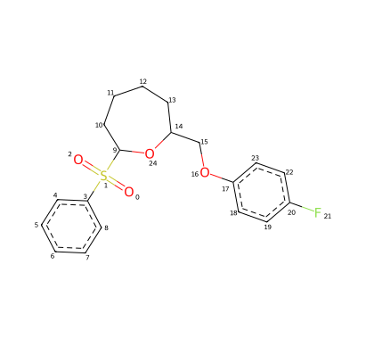 O=S(=O)(c1ccccc1)C1CCCCC(COc2ccc(F)cc2)O1